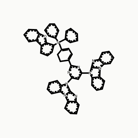 C1=C(c2nc(-n3c4ccccc4n4c5ccccc5nc34)cc(-n3c4ccccc4n4c5ccccc5nc34)n2)CCC([Si](c2ccccc2)(c2ccccc2)c2cccc3c2oc2ccccc23)=C1